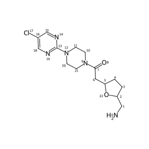 NCC1CCC(CC(=O)N2CCN(c3ncc(Cl)cn3)CC2)O1